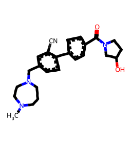 CN1CCCN(Cc2ccc(-c3ccc(C(=O)N4CCC(O)C4)cc3)c(C#N)c2)CC1